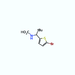 CC(C)(C)C(NC(=O)O)c1ccc(Br)s1